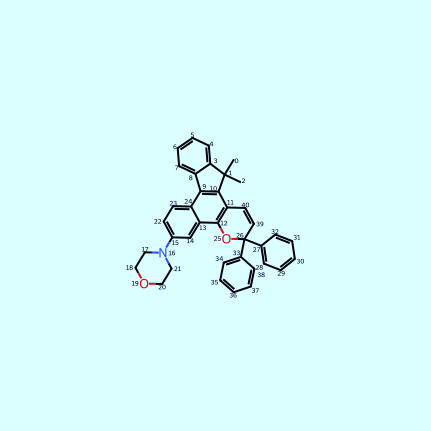 CC1(C)c2ccccc2-c2c1c1c(c3cc(N4CCOCC4)ccc23)OC(c2ccccc2)(c2ccccc2)C=C1